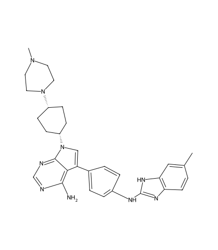 Cc1ccc2nc(Nc3ccc(-c4cn([C@H]5CC[C@@H](N6CCN(C)CC6)CC5)c5ncnc(N)c45)cc3)[nH]c2c1